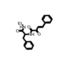 CCNC(=O)C(Cc1ccccc1)NC(=O)C(=O)/C=C/c1ccccc1